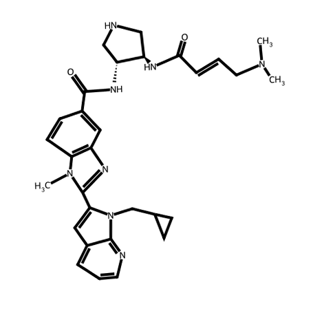 CN(C)C/C=C/C(=O)N[C@@H]1CNC[C@H]1NC(=O)c1ccc2c(c1)nc(-c1cc3cccnc3n1CC1CC1)n2C